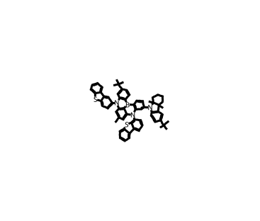 Cc1cc2c3c(c1)N(c1cccc4c1sc1ccccc14)c1cc(N4c5ccc(C(C)(C)C)cc5C5(C)CCCCC45C)ccc1B3c1ccc(C(C)(C)C)cc1N2c1ccc2sc3ccccc3c2c1